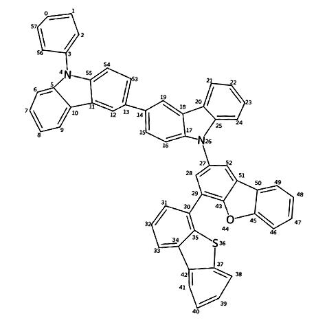 c1ccc(-n2c3ccccc3c3cc(-c4ccc5c(c4)c4ccccc4n5-c4cc(-c5cccc6c5sc5ccccc56)c5oc6ccccc6c5c4)ccc32)cc1